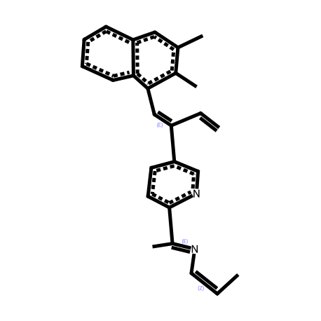 C=C/C(=C\c1c(C)c(C)cc2ccccc12)c1ccc(/C(C)=N/C=C\C)nc1